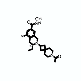 CC[C@H]1Cc2c(F)cc(C(=O)NO)cc2CN1C1CC2(CCN(C(C)=O)CC2)C1